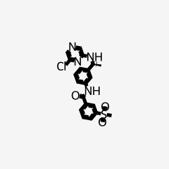 C[C@H](Nc1cncc(Cl)n1)c1cccc(NC(=O)c2cccc(S(C)(=O)=O)c2)c1